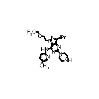 Cc1ccc(Nc2nc(N3CCNCC3)nc3c(C(C)C)nn(CCOCC(F)(F)F)c23)nc1